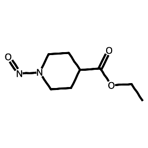 CCOC(=O)C1CCN(N=O)CC1